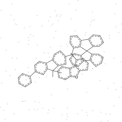 CC1(C)c2cc(-c3ccccc3)ccc2-c2ccc(N(c3cccc4c3C3(c5ccccc5-c5ccccc53)c3ccccc3-4)c3cccc4oc5ccccc5c34)cc21